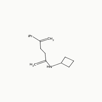 C=C(CCC(=C)C(C)C)NC1CCC1